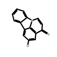 O=c1ccn2c3ccccc3c3cc(Cl)cc1c32